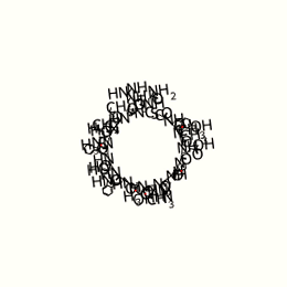 CCCC[C@H]1C(=O)N(C)[C@@H](CCCC)C(=O)N[C@@H](CCCNC(=N)N)C(=O)N[C@H](C(=O)NCC(N)=O)CSCC(=O)N[C@@H](Cc2ccc(O)cc2)C(=O)N(C)[C@@H](C)C(=O)N[C@@H](CCC(=O)O)C(=O)N2CCC[C@H]2C(=O)N[C@@H](Cc2cnc[nH]2)C(=O)N[C@@H](CC(C)C)C(=O)N2C[C@H](O)C[C@H]2C(=O)N[C@@H](Cc2c[nH]c3ccccc23)C(=O)N[C@@H](CO)C(O)N[C@@H](Cc2c[nH]c3ccccc23)C(=O)N1C